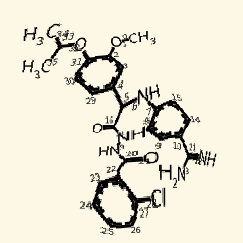 COc1cc(C(Nc2ccc(C(=N)N)cc2)C(=O)NNC(=O)c2ccccc2Cl)ccc1OC(C)C